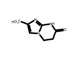 O=C1CCn2cc(C(=O)O)nc2N1